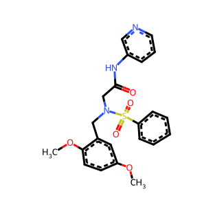 COc1ccc(OC)c(CN(CC(=O)Nc2cccnc2)S(=O)(=O)c2ccccc2)c1